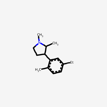 CCc1ccc(C)c(C2CCN(C)C2C)c1